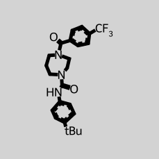 CC(C)(C)c1ccc(NC(=O)N2CCCN(C(=O)c3ccc(C(F)(F)F)cc3)CC2)cc1